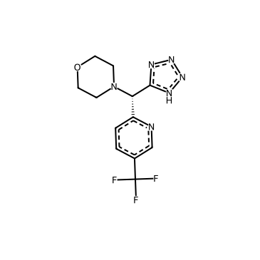 FC(F)(F)c1ccc([C@@H](c2nnn[nH]2)N2CCOCC2)nc1